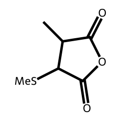 CSC1C(=O)OC(=O)C1C